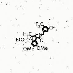 CCOC(=O)N1c2cc(OC)c(OC)cc2C(C(=O)NCc2cc(C(F)(F)F)cc(C(F)(F)F)c2)CC1C